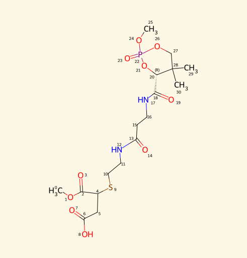 COC(=O)C(CC(=O)O)SCCNC(=O)CCNC(=O)[C@@H]1OP(=O)(OC)OCC1(C)C